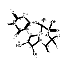 CCC(F)(OP(=O)(O)[C@@](C)(O)CC)C(C)[C@H]1O[C@@H](c2c[nH]c(=O)n(C)c2=O)[C@H](O)[C@@H]1O